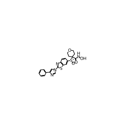 O=C(NO)C1([S+]([O-])c2ccc3nc(-n4cnc(-c5ccccc5)c4)sc3c2)CCOCC1